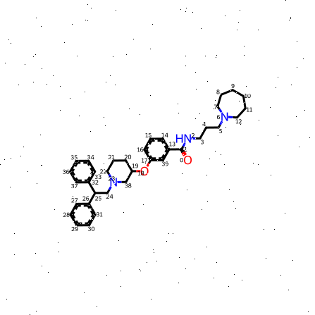 O=C(NCCCN1CCCCCC1)c1cccc(OC2CCCN(CC(c3ccccc3)c3ccccc3)C2)c1